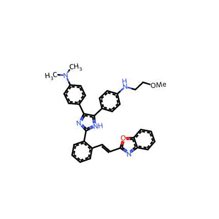 COCCNc1ccc(-c2[nH]c(-c3ccccc3/C=C/c3nc4ccccc4o3)nc2-c2ccc(N(C)C)cc2)cc1